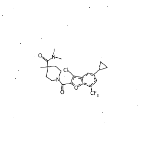 CN(C)C(=O)C1(C)CCN(C(=O)c2oc3c(C(F)(F)F)cc(C4CC4)cc3c2Cl)CC1